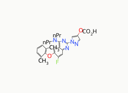 CCCN(CCC)c1nc(-n2cc(OC(=O)O)cn2)nc2cc(F)c(Oc3c(C)cccc3C)cc12